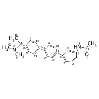 CC(=O)Nc1cccc(-c2ccc(-c3ccc(C(C)N(C)C)cc3)cc2)c1